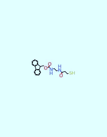 O=C(CCS)NCCNC(=O)OCC1c2ccccc2-c2ccccc21